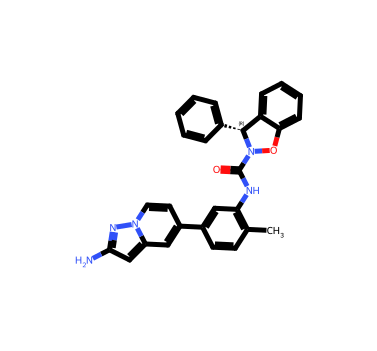 Cc1ccc(-c2ccn3nc(N)cc3c2)cc1NC(=O)N1Oc2ccccc2[C@H]1c1ccccc1